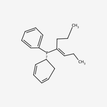 CC/C=C(\CCC)P(c1ccccc1)[C@H]1C=CC=CC1